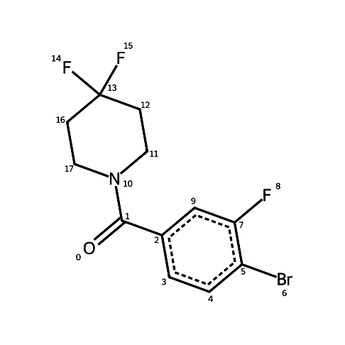 O=C(c1ccc(Br)c(F)c1)N1CCC(F)(F)CC1